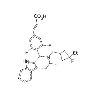 CCC1(F)CC(CN2C(C)Cc3c([nH]c4ccccc34)C2c2c(F)cc(/C=C/C(=O)O)cc2F)C1